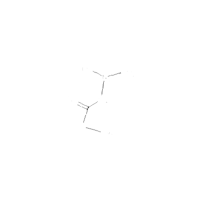 CC(C)(C)OC(=O)ON(C(=O)O)C(C)(C)C